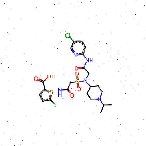 CC(C)N1CCC(N(CC(=O)Nc2ccc(Cl)cn2)S(=O)(=O)CC(N)=O)CC1.O=C(O)c1ccc(Cl)s1